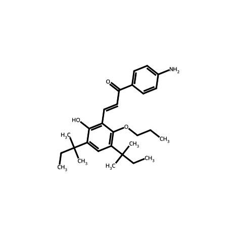 CCCOc1c(C(C)(C)CC)cc(C(C)(C)CC)c(O)c1C=CC(=O)c1ccc(N)cc1